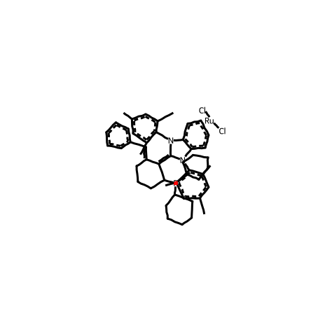 Cc1cc(C)c(N2C(=C3C(=Cc4ccccc4)CCCC3P(C3CCCCC3)C3CCCCC3)N(c3c(C)cc(C)cc3C)c3ccccc32)c(C)c1.[Cl][Ru][Cl]